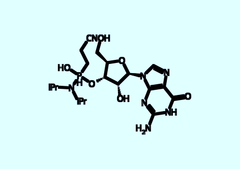 CC(C)N(C(C)C)[PH](O)(CCC#N)O[C@H]1[C@@H](O)[C@H](n2cnc3c(=O)[nH]c(N)nc32)O[C@@H]1CO